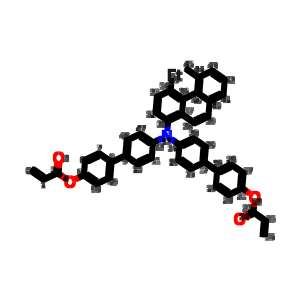 C=CC(=O)Oc1ccc(-c2ccc(N(c3ccc(-c4ccc(OC(=O)C=C)cc4)cc3)c3ccc(CC)c4c3ccc3cccc(C)c34)cc2)cc1